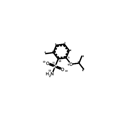 Cc1cccc(OC(C)C)c1S(N)(=O)=O